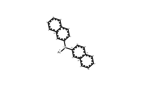 CC(=O)N(c1ccc2ccccc2c1)c1ccc2ccccc2c1